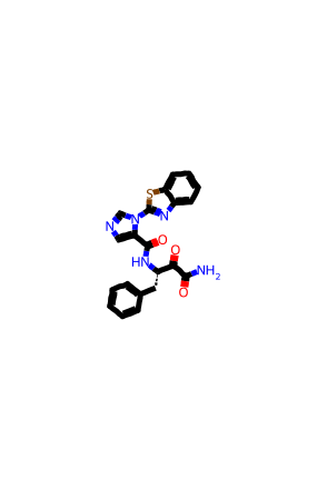 NC(=O)C(=O)[C@H](Cc1ccccc1)NC(=O)c1cncn1-c1nc2ccccc2s1